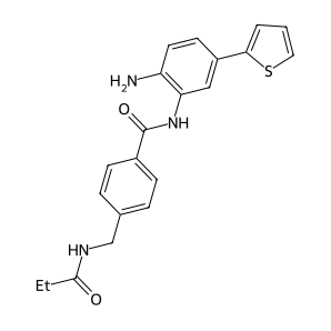 CCC(=O)NCc1ccc(C(=O)Nc2cc(-c3cccs3)ccc2N)cc1